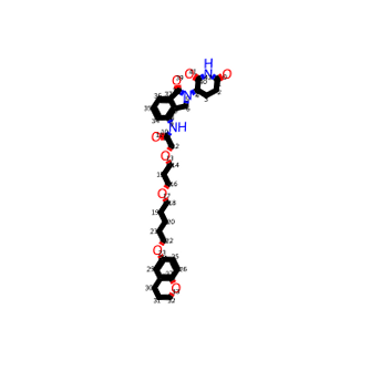 O=C1CCC(N2Cc3c(NC(=O)COCCCOCCCCCOc4ccc5c(c4)CCCO5)cccc3C2=O)C(=O)N1